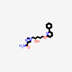 NC(=O)c1cn(C[C@@H](O)CCCOc2cccc(-c3ccccc3)n2)cn1